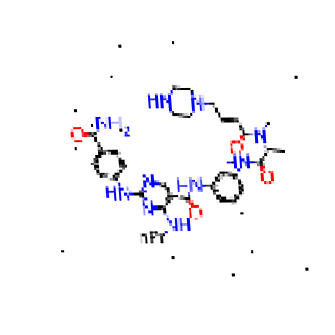 CCCNc1nc(Nc2ccc(C(N)=O)cc2)ncc1C(=O)Nc1cccc(NC(=O)C(C)N(C)C(=O)C=CCN2CCNCC2)c1